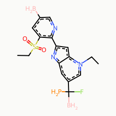 Bc1cnc(-c2cc3n(CC)cc(C(B)(F)P)cc-3n2)c(S(=O)(=O)CC)c1